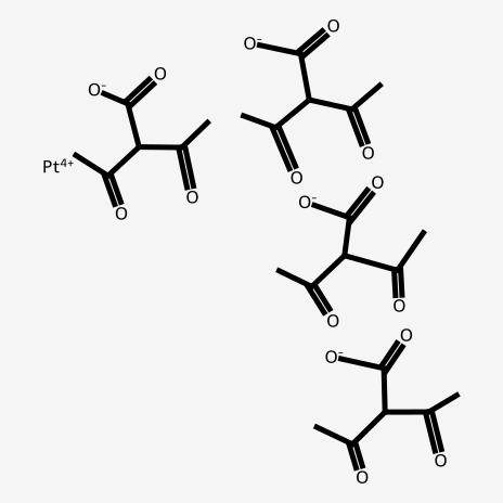 CC(=O)C(C(C)=O)C(=O)[O-].CC(=O)C(C(C)=O)C(=O)[O-].CC(=O)C(C(C)=O)C(=O)[O-].CC(=O)C(C(C)=O)C(=O)[O-].[Pt+4]